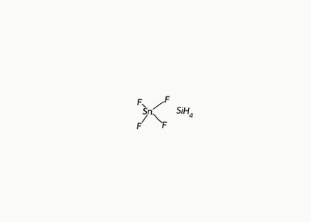 [F][Sn]([F])([F])[F].[SiH4]